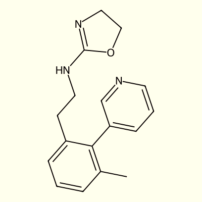 Cc1cccc(CCNC2=NCCO2)c1-c1cccnc1